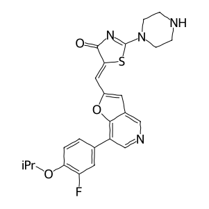 CC(C)Oc1ccc(-c2cncc3cc(/C=C4\SC(N5CCNCC5)=NC4=O)oc23)cc1F